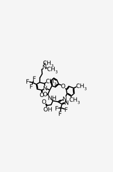 Cc1cc(C)c2c(c1)Oc1cccc(c1)C(N1C(=O)C=C(C(F)(F)F)C(CCCN(C)C)C1C)C(=O)NC(CC(=O)O)c1cn-2nc1C(F)(F)F